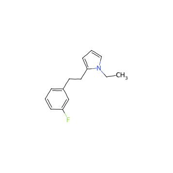 CCn1cccc1CCc1cccc(F)c1